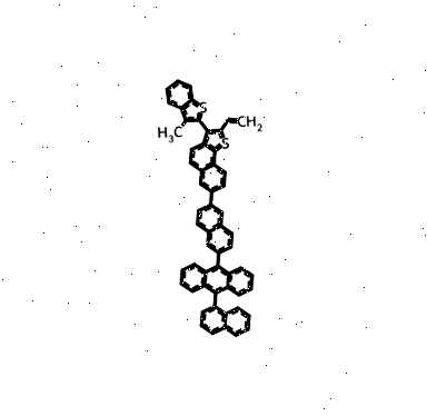 C=Cc1sc2c(ccc3cc(-c4ccc5cc(-c6c7ccccc7c(-c7cccc8ccccc78)c7ccccc67)ccc5c4)ccc32)c1-c1sc2ccccc2c1C